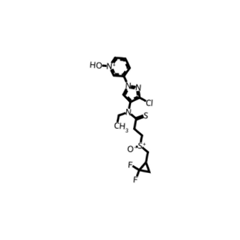 CCN(C(=S)CC[S+]([O-])CC1CC1(F)F)c1cn(-c2ccc[n+](O)c2)nc1Cl